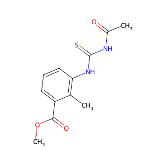 COC(=O)c1cccc(NC(=S)NC(C)=O)c1C